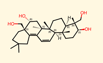 CC1(C)CC[C@@]2(CO)C(=C3C=C[C@@H]4[C@@]5(C)CC[C@H](O)[C@@](C)(CO)[C@@H]5CC[C@@]4(C)[C@]3(C)C[C@H]2O)C1